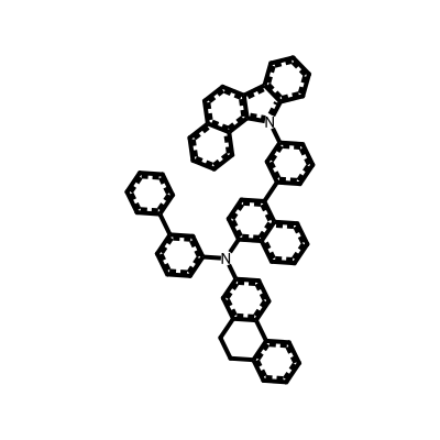 c1ccc(-c2cccc(N(c3ccc4c(c3)CCc3ccccc3-4)c3ccc(-c4cccc(-n5c6ccccc6c6ccc7ccccc7c65)c4)c4ccccc34)c2)cc1